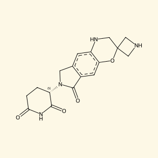 O=C1CC[C@H](N2Cc3cc4c(cc3C2=O)OC2(CNC2)CN4)C(=O)N1